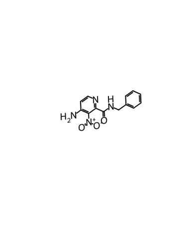 Nc1ccnc(C(=O)NCc2ccccc2)c1[N+](=O)[O-]